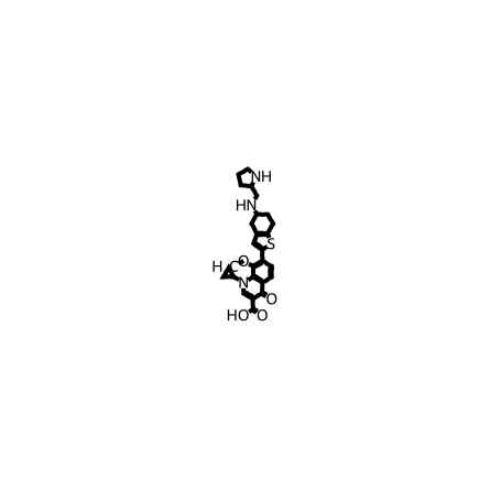 COc1c(-c2cc3c(s2)CCC(NCC2CCCN2)C3)ccc2c(=O)c(C(=O)O)cn(C3CC3)c12